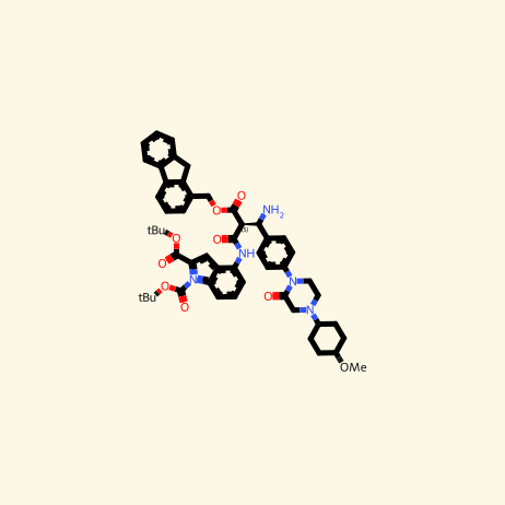 COC1CCC(N2CCN(c3ccc(C(N)[C@@H](C(=O)Nc4cccc5c4cc(C(=O)OC(C)(C)C)n5C(=O)OC(C)(C)C)C(=O)OCc4cccc5c4Cc4ccccc4-5)cc3)C(=O)C2)CC1